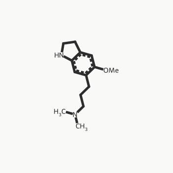 COc1cc2c(cc1CCCN(C)C)NCC2